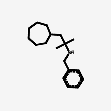 CC(C)(CC1CCCCCC1)NCc1ccccc1